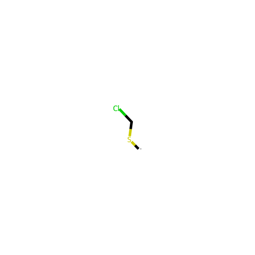 [CH2]SCCl